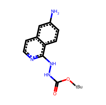 CC(C)(C)OC(=O)NNc1nccc2cc(N)ccc12